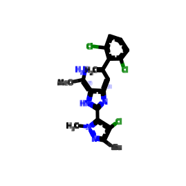 C=C(/C=c1/nc(-c2c(Cl)c(C(C)(C)C)nn2C)[nH]/c1=C(/N)OC)c1c(Cl)cccc1Cl